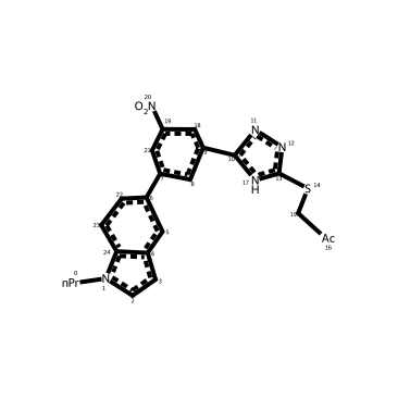 CCCn1ccc2cc(-c3cc(-c4nnc(SCC(C)=O)[nH]4)cc([N+](=O)[O-])c3)ccc21